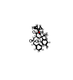 N#CC1(NC(=O)[C@H](CS(=O)(=O)Cc2ccccc2)N[C@@](C#CC2CC2)(c2ccc(F)cc2)C(F)(F)F)CC1